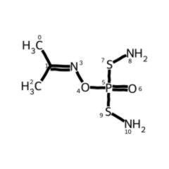 CC(C)=NOP(=O)(SN)SN